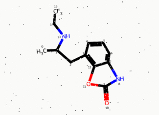 CC(Cc1cccc2[nH]c(=O)oc12)NCC(F)(F)F